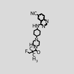 CC(C)(CF)C(=O)N1CCN(C2CCC(Nc3ncnc4ccc(C#N)cc34)CC2)CC1